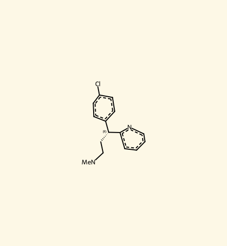 CNCC[C@H](c1ccc(Cl)cc1)c1ccccn1